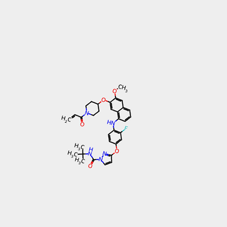 C=CC(=O)N1CCC(Oc2cc3c(Nc4ccc(Oc5ccn(C(=O)NC(C)(C)C)n5)cc4F)cccc3cc2OC)CC1